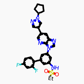 CCS(=O)(=O)Nc1cc(-c2ccc(F)cc2F)cc(-n2cnc3cc(-c4cnn(C5CCCC5)c4)cnc32)c1